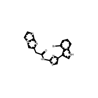 O=C(Cc1cn2ccsc2n1)Nc1nc(-c2c[nH]c3cccc(Br)c23)cs1